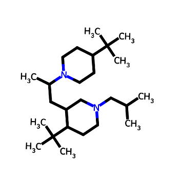 CC(C)CN1CCC(C(C)(C)C)C(CC(C)N2CCC(C(C)(C)C)CC2)C1